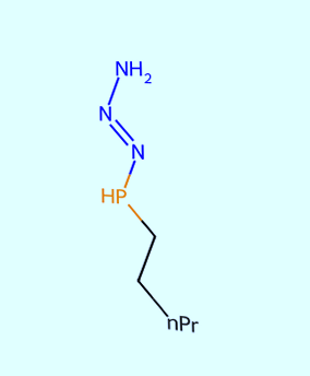 CCCCCPN=NN